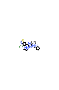 Cc1ccn(-c2nc(NCc3ccccc3)c(C#N)nc2-c2cc(Cl)c3ncsc3c2)n1